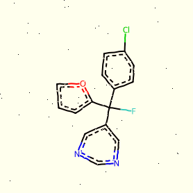 FC(c1ccc(Cl)cc1)(c1cncnc1)c1ccco1